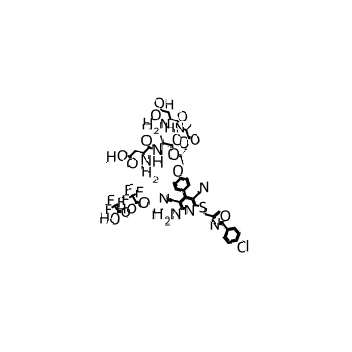 C[C@H](NC(=O)[C@@H](N)CC(=O)O)C(=O)OC[C@H](COc1ccc(-c2c(C#N)c(N)nc(SCc3coc(-c4ccc(Cl)cc4)n3)c2C#N)cc1)OC(=O)[C@H](C)NC(=O)[C@@H](N)CC(=O)O.O=C(O)C(F)(F)F.O=C(O)C(F)(F)F